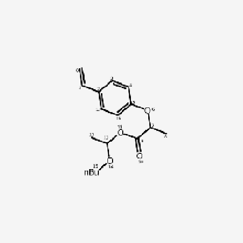 C=Cc1ccc(OC(C)C(=O)OC(C)OCCCC)cc1